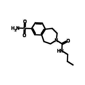 CCCNC(=O)N1CCc2ccc(S(N)(=O)=O)cc2CC1